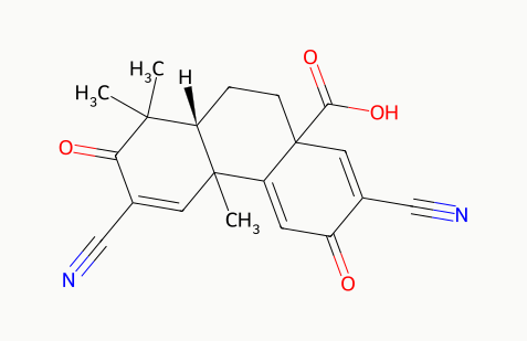 CC1(C)C(=O)C(C#N)=CC2(C)C3=CC(=O)C(C#N)=CC3(C(=O)O)CC[C@@H]12